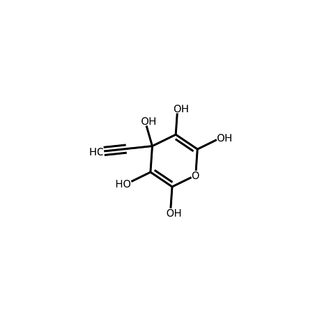 C#CC1(O)C(O)=C(O)OC(O)=C1O